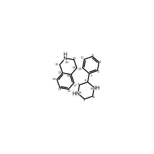 c1ccc(C2CNCCN2)cc1.c1ccc2c(c1)CCNC2